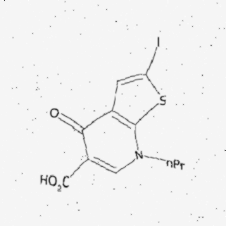 CCCn1cc(C(=O)O)c(=O)c2cc(I)sc21